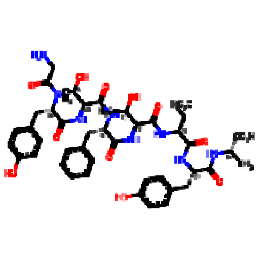 C[C@H](NC(=O)[C@H](Cc1ccc(O)cc1)NC(=O)[C@H](CC(=O)O)NC(=O)[C@@H](NC(=O)[C@H](Cc1ccccc1)NC(=O)[C@@H](NC(=O)[C@H](Cc1ccc(O)cc1)NC(=O)CN)[C@@H](C)O)[C@@H](C)O)C(=O)O